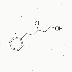 OCCC(Cl)CCc1ccccc1